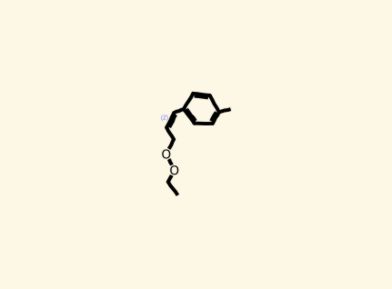 CCOOC/C=C\c1ccc(C)cc1